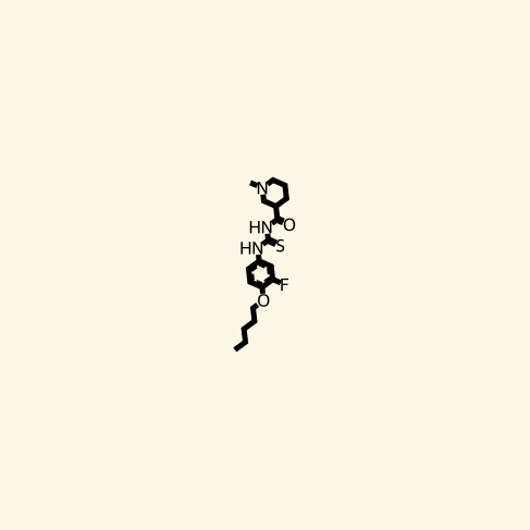 CCCCCOc1ccc(NC(=S)NC(=O)C2CCCN(C)C2)cc1F